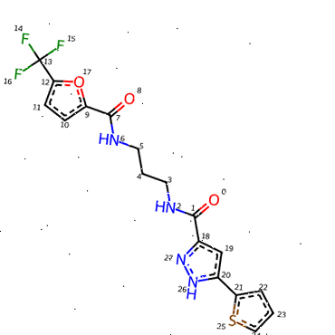 O=C(NCCCNC(=O)c1ccc(C(F)(F)F)o1)c1cc(-c2cccs2)[nH]n1